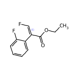 CCOC(=O)/C(=C/F)c1ccccc1F